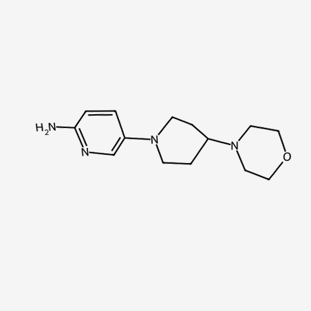 Nc1ccc(N2CCC(N3CCOCC3)CC2)cn1